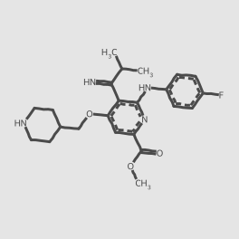 COC(=O)c1cc(OCC2CCNCC2)c(C(=N)C(C)C)c(Nc2ccc(F)cc2)n1